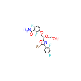 NC(=O)c1c(F)ccc(OCC(OCCO)c2nc(-c3ccc(F)cc3F)c(Br)o2)c1F